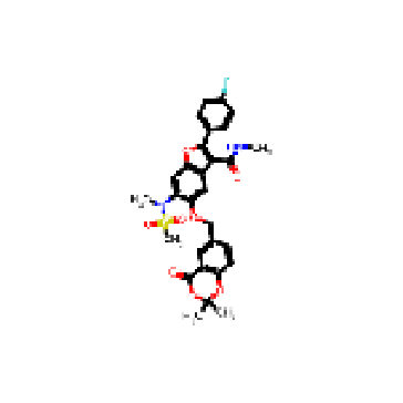 CNC(=O)c1c(-c2ccc(F)cc2)oc2cc(N(C)S(C)(=O)=O)c(OCc3ccc4c(c3)C(=O)OC(C)(C)O4)cc12